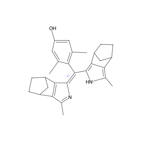 CC1=N/C(=C(\c2[nH]c(C)c3c2C2CCC3C2)c2c(C)cc(O)cc2C)C2=C1C1CCC2C1